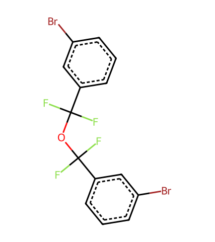 FC(F)(OC(F)(F)c1cccc(Br)c1)c1cccc(Br)c1